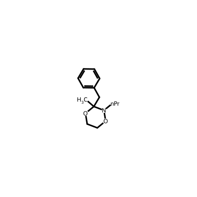 CCCN1OCCOC1(C)Cc1ccccc1